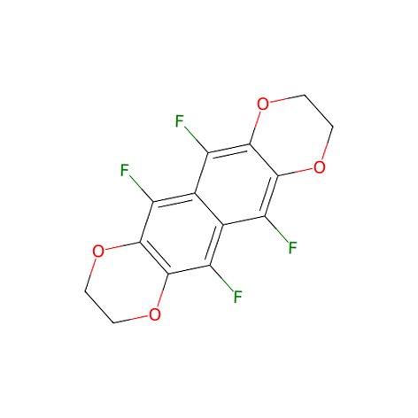 Fc1c2c(c(F)c3c(F)c4c(c(F)c13)OCCO4)OCCO2